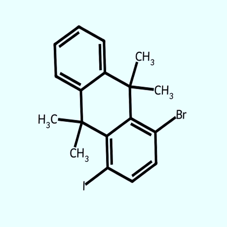 CC1(C)c2ccccc2C(C)(C)c2c(I)ccc(Br)c21